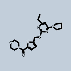 CCc1cc(N2CCCC2)nc(SCc2ccc(C(=O)N3CCOCC3)o2)n1